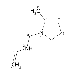 C=CNCN1CCCC1C